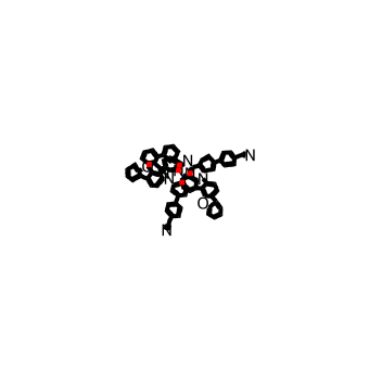 N#Cc1ccc(-c2ccc(-c3nc(-c4cccc(-c5ccccc5C#N)c4)nc(-c4ccc(-c5ccc(C#N)cc5)cc4-n4c5ccccc5c5c6oc7ccccc7c6ccc54)n3)c(-n3c4ccccc4c4c5oc6ccccc6c5ccc43)c2)cc1